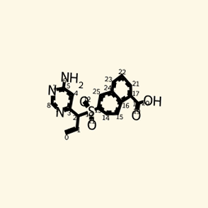 C=CC(c1cc(N)ncn1)S(=O)(=O)c1ccc2c(C(=O)O)cccc2c1